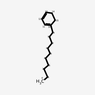 CCCCCCCCCCC1=CC=CC[CH]1